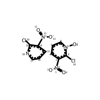 O=[N+]([O-])c1ccc[n+]([O-])c1Cl.O=[N+]([O-])c1cccnc1Cl